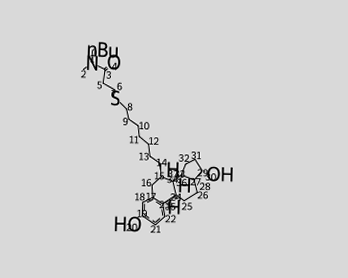 CCCCN(C)C(=O)CCSCCCCCCC[C@@H]1Cc2cc(O)ccc2[C@H]2CC[C@]3(C)[C@@H](O)CC[C@H]3[C@H]12